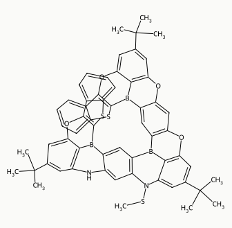 CSN1c2cc3c(cc2B2c4cc5c(cc4Oc4cc(C(C)(C)C)cc1c42)Oc1cc(C(C)(C)C)cc2c1B5c1sc4ccccc4c1O2)B1c2sc4ccccc4c2Oc2cc(C(C)(C)C)cc(c21)N3